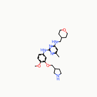 COc1ccc(Nc2nc(C)cc(NCC3CCOCC3)n2)cc1OCC1CCNC1